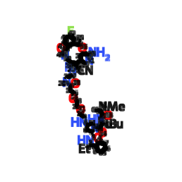 CC[C@@H](NC(=O)[C@@H]1C[C@H](NCCOCCOCCC(=O)N(C)CCn2nc3c(c2C#N)-c2cnc(N)c(c2)O[C@H](C)c2cc(F)ccc2C(=O)N(C)C3)CN1C(=O)[C@@H](NC(=O)[C@H](C)NC)C(C)(C)C)c1ccccc1